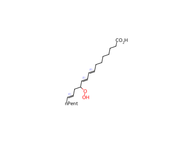 CCCCC/C=C/CC(/C=C/C=C/CCCCCCC(=O)O)OO